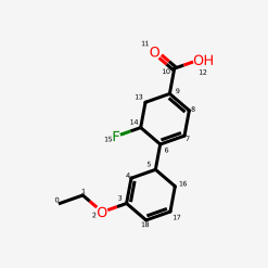 CCOC1=CC(C2=CC=C(C(=O)O)CC2F)CC=C1